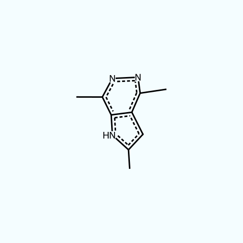 Cc1cc2c(C)nnc(C)c2[nH]1